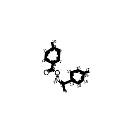 CC(=NOC(=O)c1ccc(C)cc1)c1ccc(C)cc1